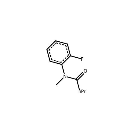 CCCC(=O)N(C)c1ccccc1F